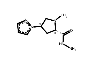 CN1C[C@H](n2cccn2)C[C@H]1C(=O)NN